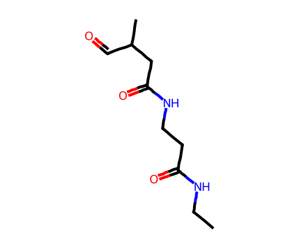 CCNC(=O)CCNC(=O)CC(C)C=O